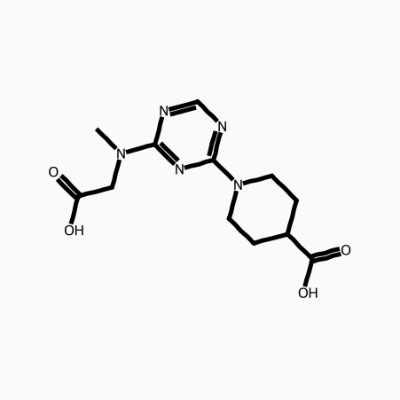 CN(CC(=O)O)c1ncnc(N2CCC(C(=O)O)CC2)n1